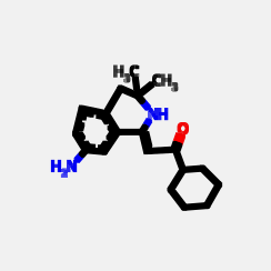 CC1(C)Cc2ccc(N)cc2C(=CC(=O)C2CCCCC2)N1